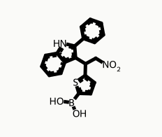 O=[N+]([O-])CC(c1ccc(B(O)O)s1)c1c(-c2ccccc2)[nH]c2ccccc12